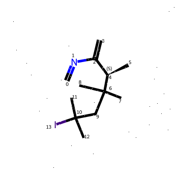 C=NC(=C)[C@@H](C)C(C)(C)CC(C)(C)I